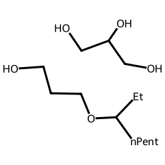 CCCCCC(CC)OCCCO.OCC(O)CO